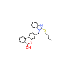 CCCCSc1nc2ccccc2n1Cc1ccc(-c2ccccc2C(=O)O)cc1